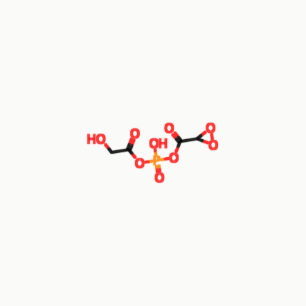 O=C(CO)OP(=O)(O)OC(=O)C1OO1